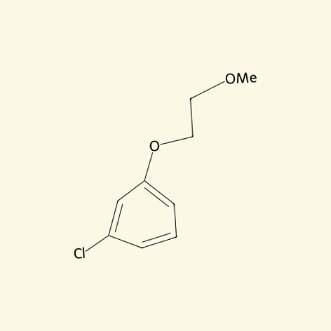 [CH2]OCCOc1cccc(Cl)c1